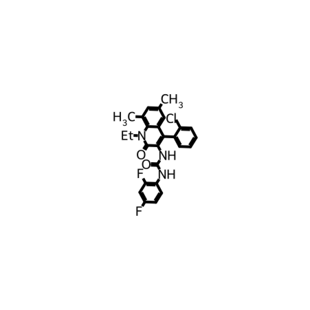 CCn1c(=O)c(NC(=O)Nc2ccc(F)cc2F)c(-c2ccccc2Cl)c2cc(C)cc(C)c21